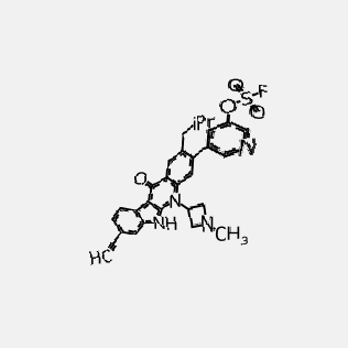 C#Cc1ccc2c(c1)[nH]c1c2c(=O)c2cc(CC(C)C)c(-c3cncc(OS(=O)(=O)F)c3)cc2n1C1CN(C)C1